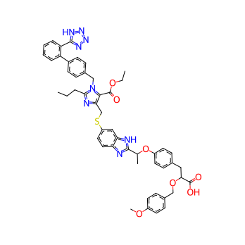 CCCc1nc(CSc2ccc3nc(C(C)Oc4ccc(CC(OCc5ccc(OC)cc5)C(=O)O)cc4)[nH]c3c2)c(C(=O)OCC)n1Cc1ccc(-c2ccccc2-c2nnn[nH]2)cc1